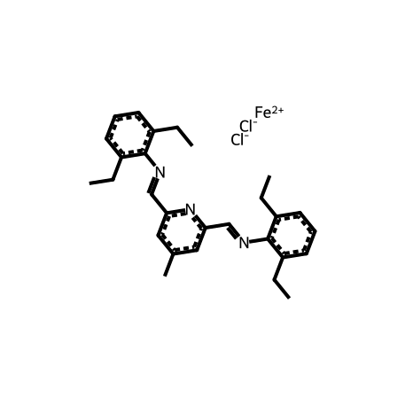 CCc1cccc(CC)c1N=Cc1cc(C)cc(C=Nc2c(CC)cccc2CC)n1.[Cl-].[Cl-].[Fe+2]